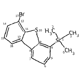 C[Si](C)(C)c1cccc2c1sc1c(Br)cccc12